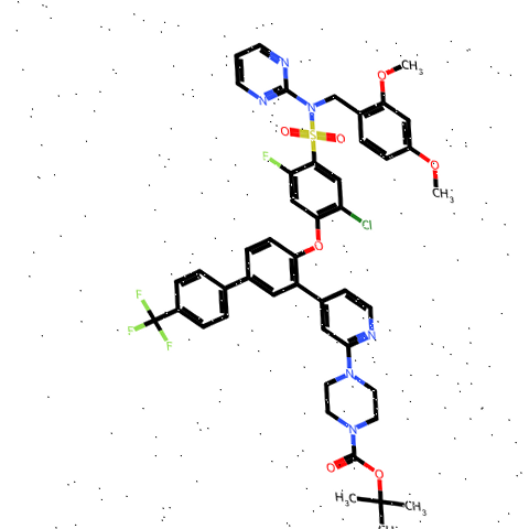 COc1ccc(CN(c2ncccn2)S(=O)(=O)c2cc(Cl)c(Oc3ccc(-c4ccc(C(F)(F)F)cc4)cc3-c3ccnc(N4CCN(C(=O)OC(C)(C)C)CC4)c3)cc2F)c(OC)c1